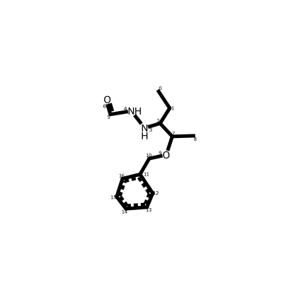 CCC(NNC=O)C(C)OCc1ccccc1